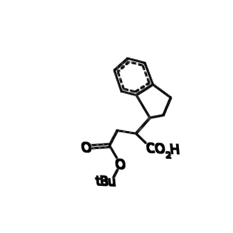 CC(C)(C)OC(=O)CC(C(=O)O)C1CCc2ccccc21